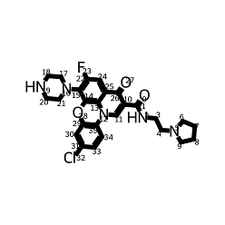 O=C(NCCN1CCCC1)c1cn2c3c(c(N4CCNCC4)c(F)cc3c1=O)Oc1cc(Cl)ccc1-2